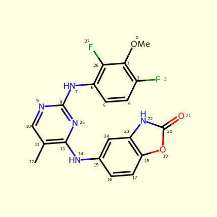 COc1c(F)ccc(Nc2ncc(C)c(Nc3ccc4oc(=O)[nH]c4c3)n2)c1F